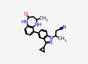 CC1CC(=O)Nc2cccc(-c3ccc4c(c3)c(C3CC3)nn4C(C)CC#N)c2N1